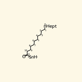 CCCCCCCCCCCCCCCCC[C](=O)[SnH]